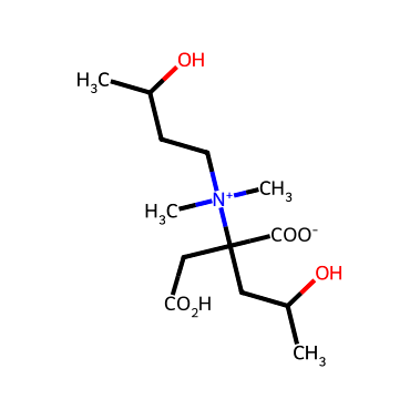 CC(O)CC[N+](C)(C)C(CC(=O)O)(CC(C)O)C(=O)[O-]